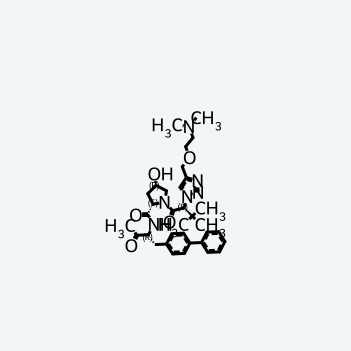 CC(=O)[C@@H](Cc1ccc(-c2ccccc2)cc1)NC(=O)[C@@H]1C[C@@H](O)CN1C(=O)[C@@H](n1cc(COCCN(C)C)nn1)C(C)(C)C